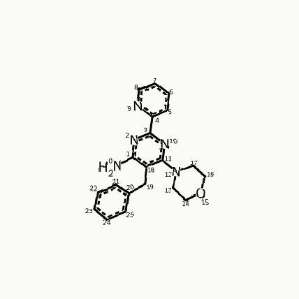 Nc1nc(-c2ccccn2)nc(N2CCOCC2)c1Cc1ccccc1